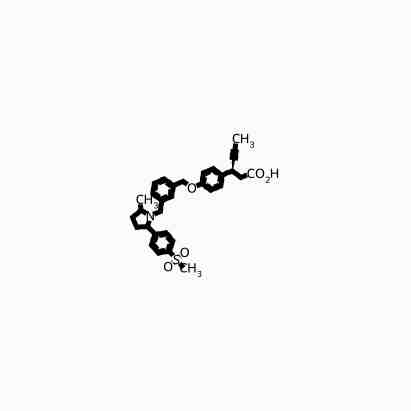 CC#C[C@@H](CC(=O)O)c1ccc(OCc2cccc(CN3C(C)CCC3c3ccc(S(C)(=O)=O)cc3)c2)cc1